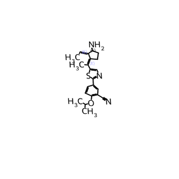 C/C=C1\C(=C(/C)c2cnc(-c3ccc(OC(C)C)c(C#N)c3)s2)CC[C@@H]1N